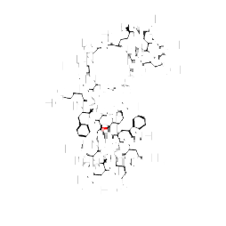 CCC(C)C(NC(=O)C(Cc1ccccc1)NC(=O)C(CCC(=O)O)NC(=O)C1CSCC(=O)CSCC(NC(=O)C(CC(=O)O)NC(=O)C(CC(C)C)NC(C)=O)C(=O)NC(CCC(N)=O)C(=O)NC(C)C(=O)NC(C)C(=O)N1)C(=O)NC(CCC(N)=O)C(=O)NC(Cc1c[nH]c2ccccc12)C(=O)NC(CC(C)C)C(=O)NC(CCSC)C(=O)NC(CC(N)=O)C(=O)NC(C(N)=O)C(C)O